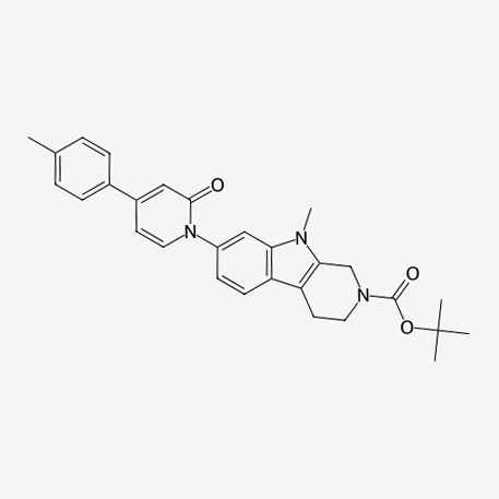 Cc1ccc(-c2ccn(-c3ccc4c5c(n(C)c4c3)CN(C(=O)OC(C)(C)C)CC5)c(=O)c2)cc1